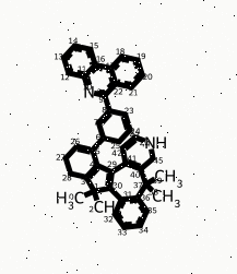 CC1(C)C2=C(C(C3C=C(c4nc5ccccc5c5ccccc45)C=CC3)=CCC2)C2=C1c1ccccc1C(C)(C)C1=C2C=CNC1